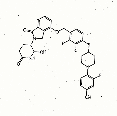 N#Cc1ccc(N2CCC(Sc3ccc(COc4cccc5c4CN([C@H]4CCC(=O)NC4O)C5=O)c(F)c3F)CC2)c(F)c1